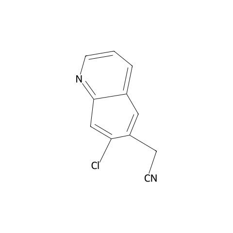 N#CCc1cc2cccnc2cc1Cl